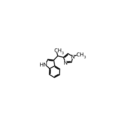 CC(c1cn(C)cn1)c1c[nH]c2ccccc12